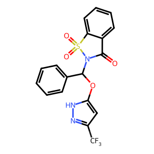 O=C1c2ccccc2S(=O)(=O)N1C(Oc1cc(C(F)(F)F)n[nH]1)c1ccccc1